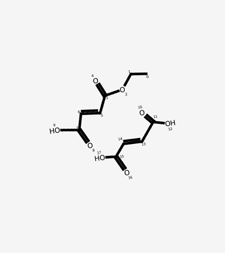 CCOC(=O)/C=C/C(=O)O.O=C(O)/C=C/C(=O)O